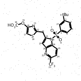 CC(C)(C)c1cccc(S(=O)(=O)n2c(Cc3nc(OC(=O)O)cs3)cc3nc(C(F)(F)F)ccc32)c1